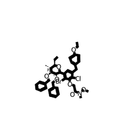 CCOc1ccc(Cc2cc(C3O[C@H](CC)[C@@H](C)[C@H](OCc4ccccc4)[C@H]3OCc3ccccc3)c(Br)c(OCC(=O)N(C)OC)c2Cl)cc1